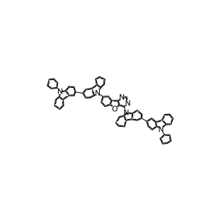 c1ccc(-n2c3ccccc3c3cc(-c4ccc5c(c4)c4ccccc4n5-c4ccc5oc6c(-n7c8ccccc8c8cc(-c9ccc%10c(c9)c9ccccc9n%10-c9ccccc9)ccc87)ncnc6c5c4)ccc32)cc1